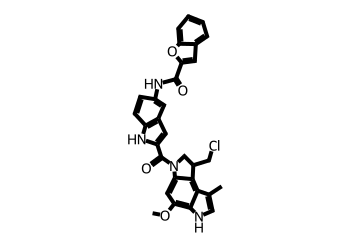 COc1cc2c(c3c(C)c[nH]c13)C(CCl)CN2C(=O)c1cc2cc(NC(=O)c3cc4ccccc4o3)ccc2[nH]1